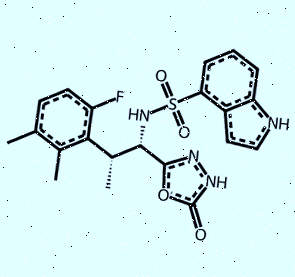 Cc1ccc(F)c([C@@H](C)[C@H](NS(=O)(=O)c2cccc3[nH]ccc23)c2n[nH]c(=O)o2)c1C